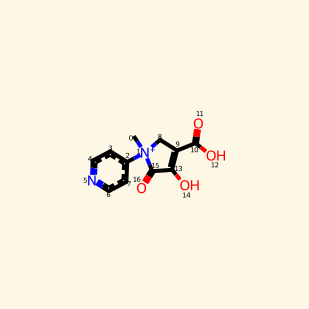 C[N+]1(c2ccncc2)CC(C(=O)O)=C(O)C1=O